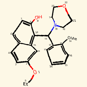 CCOc1ccc2ccc(O)c(C(c3ccccc3OC)N3CCOCC3)c2c1